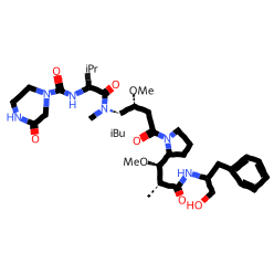 CC[C@H](C)[C@@H]([C@@H](CC(=O)N1CCCC1[C@H](OC)[C@@H](C)C(=O)NC(CO)Cc1ccccc1)OC)N(C)C(=O)C(NC(=O)N1CCNC(=O)C1)C(C)C